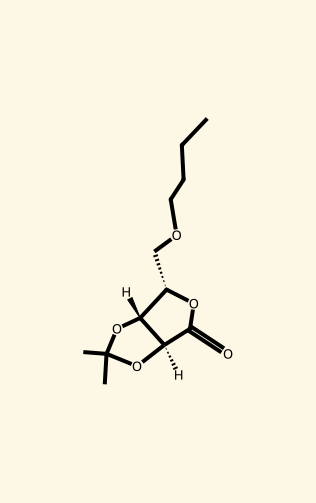 CCCCOC[C@@H]1OC(=O)[C@H]2OC(C)(C)O[C@H]12